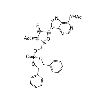 CC(=O)Nc1ncnc2c1ncn2[C@@H]1O[C@H](COP(=O)(OCc2ccccc2)OCc2ccccc2)[C@@H](OC(C)=O)[C@H]1F